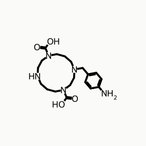 Nc1ccc(CN2CCCN(C(=O)O)CCNCCCN(C(=O)O)CC2)cc1